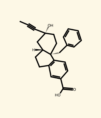 CC#C[C@@]1(O)CC[C@@]2(Cc3ccccc3)c3ccc(C(=O)O)cc3CC[C@@H]2C1